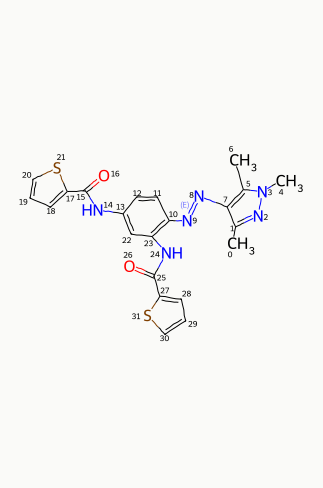 Cc1nn(C)c(C)c1/N=N/c1ccc(NC(=O)c2cccs2)cc1NC(=O)c1cccs1